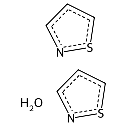 O.c1cnsc1.c1cnsc1